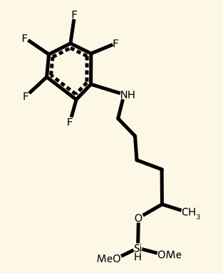 CO[SiH](OC)OC(C)CCCCNc1c(F)c(F)c(F)c(F)c1F